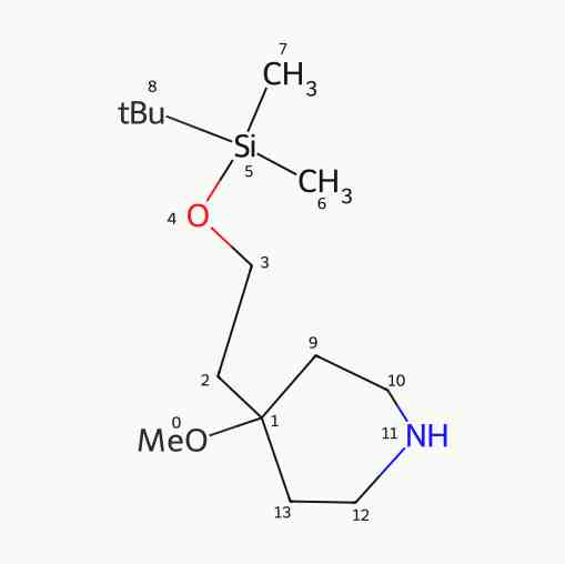 COC1(CCO[Si](C)(C)C(C)(C)C)CCNCC1